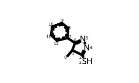 CC1C(S)=NN=C1c1ccccc1